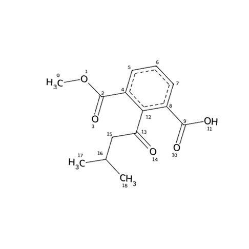 COC(=O)c1cccc(C(=O)O)c1C(=O)CC(C)C